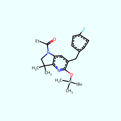 CCC(=O)N1CC(C)(C)c2nc(O[Si](C)(C)C(C)(C)C)c(Cc3ccc(F)cc3)cc21